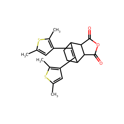 Cc1cc(C2=C(c3cc(C)sc3C)C3CCC2C2C(=O)OC(=O)C32)c(C)s1